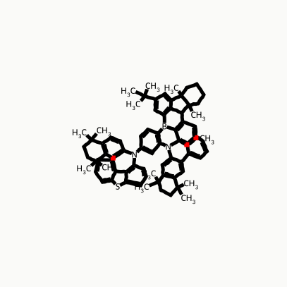 Cc1cc2c3c(c1)N(c1cc4c(cc1-c1ccccc1)C(C)(C)CCC4(C)C)c1cc(N(c4ccc5c(c4)C(C)(C)CCC5(C)C)c4cccc5sc6ccccc6c45)ccc1B3c1cc(C(C)(C)C)cc3c1C2C1(C)CCCCC31C